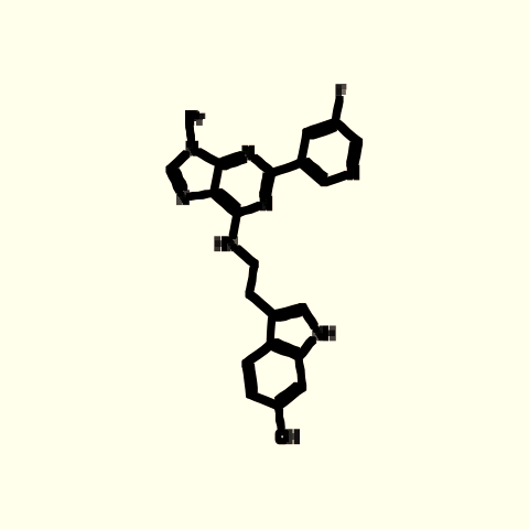 CC(C)n1cnc2c(NCCc3c[nH]c4cc(O)ccc34)nc(-c3cncc(F)c3)nc21